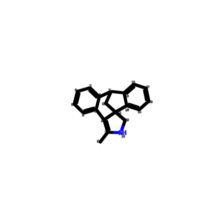 CC1=C2c3ccccc3C3CC2(CN1)c1ccccc13